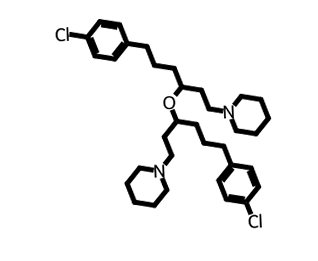 Clc1ccc(CCCC(CCN2CCCCC2)OC(CCCc2ccc(Cl)cc2)CCN2CCCCC2)cc1